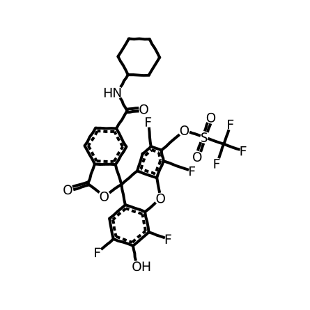 O=C(NC1CCCCC1)c1ccc2c(c1)C1(OC2=O)c2cc(F)c(O)c(F)c2Oc2c1cc(F)c(OS(=O)(=O)C(F)(F)F)c2F